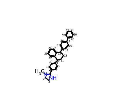 CN1CCNC1c1ccc(C2CCC(c3ccc(-c4ccccc4)cc3)c3ccccc32)cc1